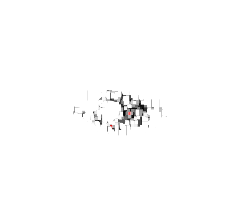 COc1ccc(C(=O)N2CCCOC(=O)C(C)(C)C(=O)[C@H](C)[C@@H](O[C@@H]3O[C@H](C)C[C@H](N(C)C)[C@H]3O)[C@](C)(OC)C[C@@H](C)CN(C)CC2)cc1